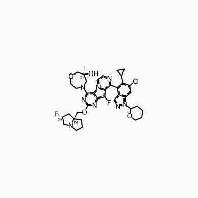 C[C@@]1(O)COCCN(c2nc(OC[C@@]34CCCN3C[C@H](F)C4)nc3c(F)c4c(-c5c(C6CC6)c(Cl)cc6c5cnn6C5CCCCO5)nccn4c23)C1